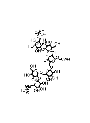 COCO[C@@H]1OC(CO[C@H]2OC(CO[C@H]3OC(CO)[C@@H](O)[C@H](O)C3O[C@H]3OC(COP(=O)(O)O)[C@@H](O)[C@H](O)C3O)[C@@H](O)[C@H](O)C2O)[C@@H](O)[C@H](O[C@H]2OC(CO)[C@@H](O)[C@H](O)C2O[C@H]2OC(COP(=O)(O)O)[C@@H](O)[C@H](O)C2O)C1O